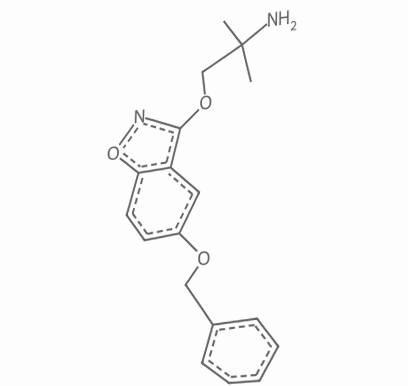 CC(C)(N)COc1noc2ccc(OCc3ccccc3)cc12